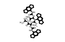 CC(C)OC(=O)[C@](C)(OC(=O)Nc1c2c(cc3c1CCC3)CCC2)OC(=O)N(c1c2c(cc3c1CCC3)CCC2)C(OC(=O)Nc1c2c(cc3c1CCC3)CCC2)C(=O)O